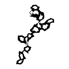 c1cc(-c2ccc3ccccc3c2)cc(-n2c3ccccc3c3cc(-c4ccc5c(c4)c4ccc6ccccc6c4n5-c4ccc5c(c4)sc4ccccc45)ccc32)c1